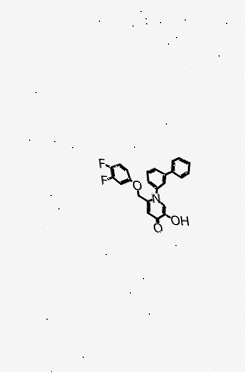 O=c1cc(COc2ccc(F)c(F)c2)n(-c2cccc(-c3ccccc3)c2)cc1O